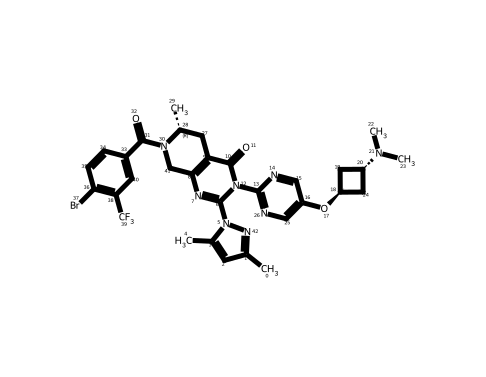 Cc1cc(C)n(-c2nc3c(c(=O)n2-c2ncc(O[C@H]4C[C@H](N(C)C)C4)cn2)C[C@@H](C)N(C(=O)c2ccc(Br)c(C(F)(F)F)c2)C3)n1